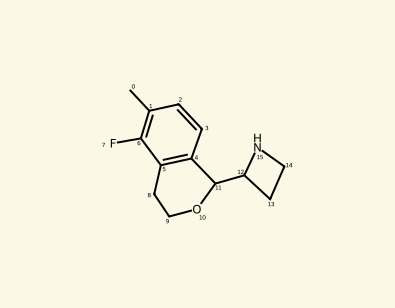 Cc1ccc2c(c1F)CCOC2C1CCN1